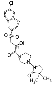 CC1(C)CCN(N2CCN(C(=O)[C@H](O)CS(=O)(=O)c3ccc4cc(Cl)ccc4c3)CC2)C1=O